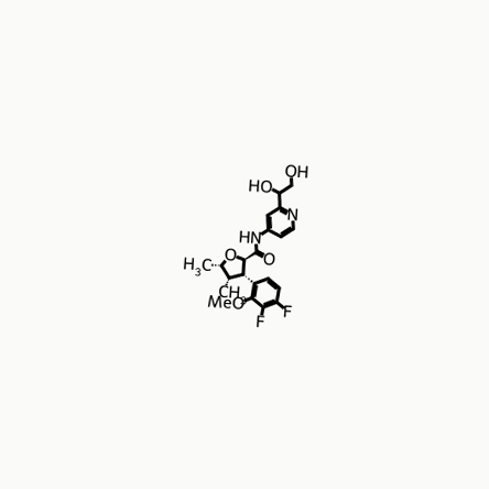 COc1c([C@@H]2[C@H](C)[C@H](C)O[C@H]2C(=O)Nc2ccnc(C(O)CO)c2)ccc(F)c1F